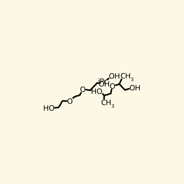 CC(C)O.CC(O)COC(C)CO.OCCOCCOCCO